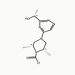 C[C@@H]1CN(c2ccnc([C@@H](C)O)n2)C[C@H](C)N1C(=O)Cl